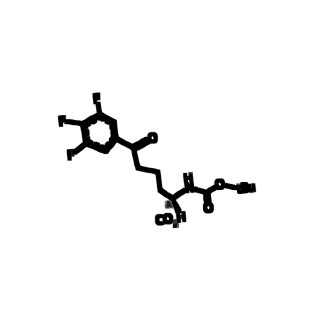 CC(C)(C)OC(=O)N[C@H](CCCC(=O)c1cc(F)c(F)c(F)c1)C(=O)O